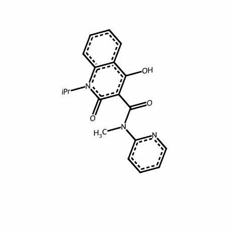 CC(C)n1c(=O)c(C(=O)N(C)c2ccccn2)c(O)c2ccccc21